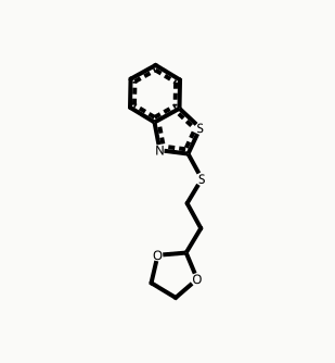 c1ccc2sc(SCCC3OCCO3)nc2c1